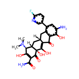 CN(C)[C@@H]1C(O)=C(C(N)=O)C(=O)[C@@]2(O)C(O)=C3C(=O)c4c(O)c(N)cc(-c5ccc(F)nc5)c4C[C@H]3C[C@@H]12